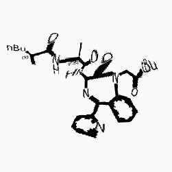 CCCC[C@H](C)C(=O)N[C@@H](C)C(=O)NC1N=C(c2ccccn2)c2ccccc2N(CC(=O)C(C)(C)C)C1=O